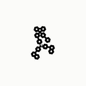 c1ccc(-c2ccc(C3(c4cccc(-c5ccc(N(c6ccc(-c7cccc8ccccc78)cc6)c6ccc(-c7cccc8ccccc78)cc6)cc5)c4)c4ccccc4-c4ccccc43)cc2)cc1